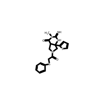 CN1C(=N)NC2(c3cccs3)CN(C(=O)CSc3ccccc3)CC2C1=O